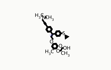 Cc1cc(OC/C=C(/c2ccc(C#CCN(C)C)cc2)c2ccc(SC3CC3)cc2)ccc1OC(C)C(=O)O